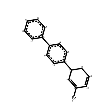 BrC1=CC(c2ccc(-c3ccccc3)cc2)CC=C1